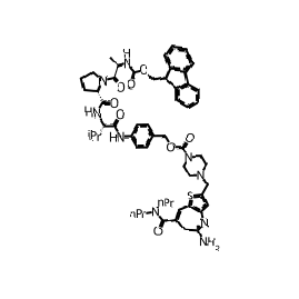 CCCN(CCC)C(=O)C1=Cc2sc(CN3CCN(C(=O)OCc4ccc(NC(=O)[C@@H](NC(=O)[C@@H]5CCCN5C(=O)[C@@H](C)NC(=O)OCC5c6ccccc6-c6ccccc65)C(C)C)cc4)CC3)cc2N=C(N)C1